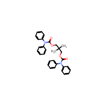 CC(C)(COC(=O)N(c1ccccc1)c1ccccc1)COC(=O)N(c1ccccc1)c1ccccc1